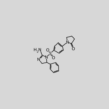 NC1=NCC(c2ccccc2)N1S(=O)(=O)c1ccc(N2CCCC2=O)cc1